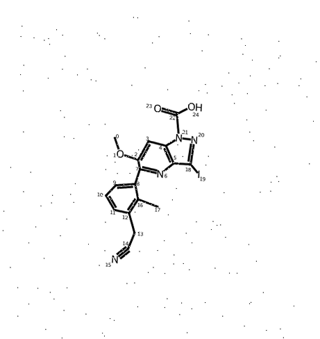 COc1cc2c(nc1-c1cccc(CC#N)c1C)c(I)nn2C(=O)O